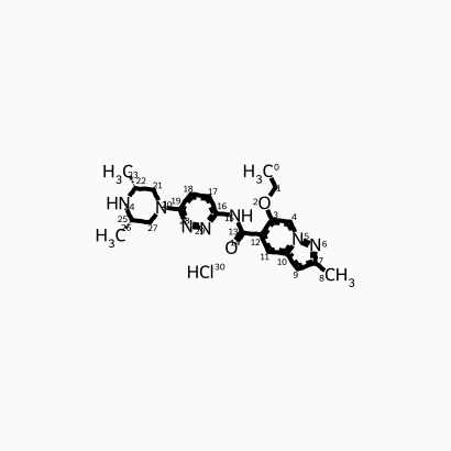 CCOc1cn2nc(C)cc2cc1C(=O)Nc1ccc(N2C[C@@H](C)N[C@@H](C)C2)nn1.Cl